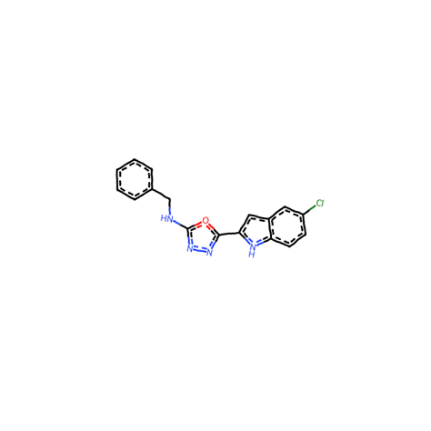 Clc1ccc2[nH]c(-c3nnc(NCc4ccccc4)o3)cc2c1